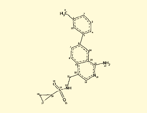 Cc1cccc(-c2ccc3c(CNS(=O)(=O)C4CC4)cnc(N)c3c2)c1